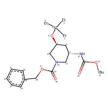 CC[Si](CC)(CC)O[C@H]1C[C@H](NC(=O)OC(C)(C)C)CN(C(=O)OCc2ccccc2)C1